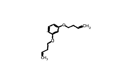 C=CCCOc1[c]ccc(OCCC=C)c1